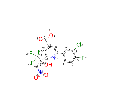 COC(=O)c1cc(-c2ccc(F)c(Cl)c2)nc(C(O)(C[N+](=O)[O-])C(F)(F)F)c1